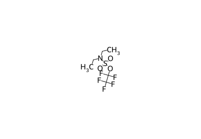 CCN(CC)S(=O)(=O)OC(F)(F)C(F)(F)F